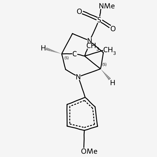 CNS(=O)(=O)N1C[C@@H]2CN(c3ccc(OC)cc3)[C@H](C1)C(C)(C)C2